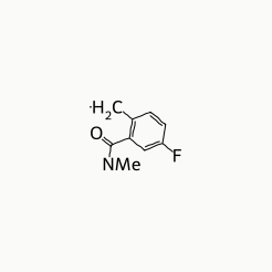 [CH2]c1ccc(F)cc1C(=O)NC